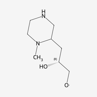 CN1CCNCC1C[C@@H](O)C[O]